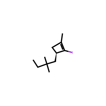 CCC(C)(C)C[C@H]1CC(C)=C1I